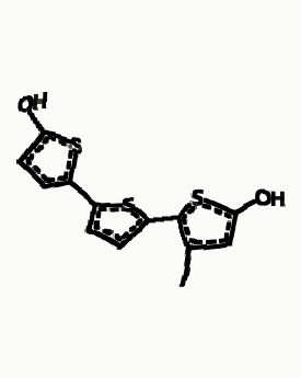 Cc1cc(O)sc1-c1ccc(-c2ccc(O)s2)s1